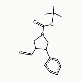 CC(C)(C)OC(=O)N1CC(C=O)C(c2ccccc2)C1